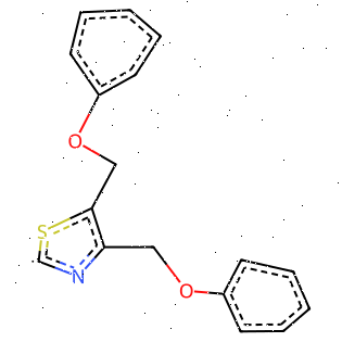 [c]1nc(COc2ccccc2)c(COc2ccccc2)s1